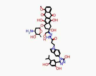 COc1cccc2c1C(=O)c1c(O)c3c(c(O)c1C2=O)C[C@@](O)(/C(CO)=N/NC(=O)CCn1ccc2cc(-n4c(O)nnc4-c4cc(C(C)C)c(O)cc4O)ccc21)C[C@@H]3O[C@H]1C[C@H](N)[C@H](O)[C@H](C)O1